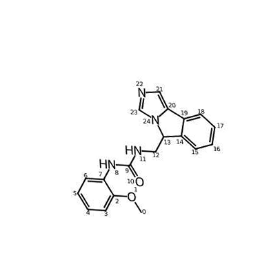 COc1ccccc1NC(=O)NCC1c2ccccc2-c2cncn21